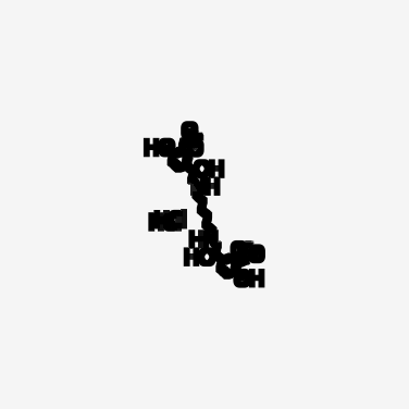 CS(=O)(=O)Cc1cc(C(O)CNCCCCCCNCC(O)c2ccc(O)c(CS(C)(=O)=O)c2)ccc1O.Cl.Cl